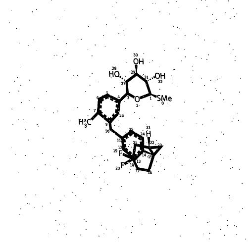 CS[C@H]1OC(c2ccc(C)c(Cc3ccc([C@@]45CCC(F)(F)C[C@@H]4C5)cc3)c2)[C@H](O)[C@@H](O)[C@@H]1O